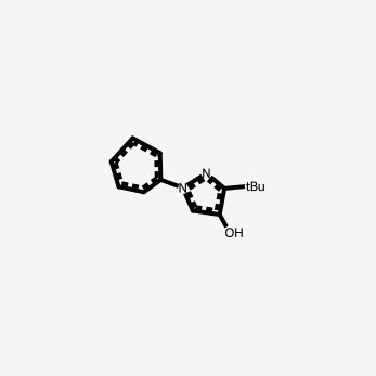 CC(C)(C)c1nn(-c2ccccc2)cc1O